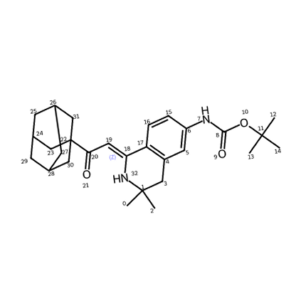 CC1(C)Cc2cc(NC(=O)OC(C)(C)C)ccc2/C(=C/C(=O)C23CC4CC(CC(C4)C2)C3)N1